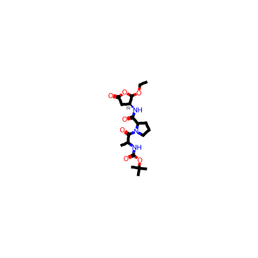 CCOC1OC(=O)C[C@@H]1NC(=O)C1CCCN1C(=O)C(C)NC(=O)OC(C)(C)C